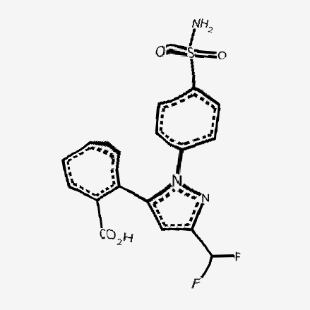 NS(=O)(=O)c1ccc(-n2nc(C(F)F)cc2-c2ccccc2C(=O)O)cc1